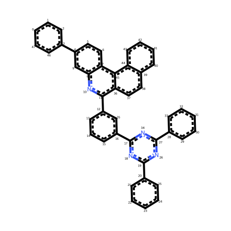 c1ccc(-c2ccc3c(c2)nc(-c2cccc(-c4nc(-c5ccccc5)nc(-c5ccccc5)n4)c2)c2ccc4ccccc4c23)cc1